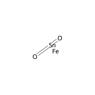 [Fe].[O]=[Sn]=[O]